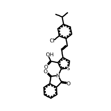 CC(C)c1ccc(C=Cc2csc(N3C(=O)c4ccccc4C3=O)c2C(=O)O)c(Cl)c1